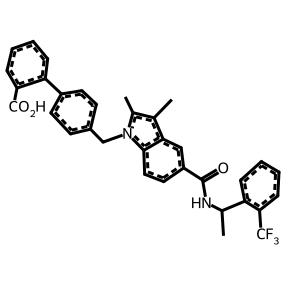 Cc1c(C)n(Cc2ccc(-c3ccccc3C(=O)O)cc2)c2ccc(C(=O)NC(C)c3ccccc3C(F)(F)F)cc12